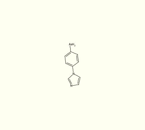 [AsH2]c1ccc(-n2ccnc2)cc1